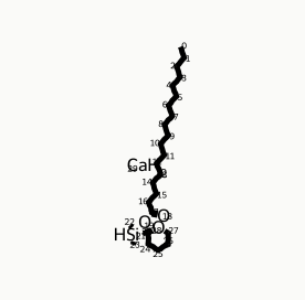 CCCCCCCCCCCCCCCCCC(=O)OC1([SiH](C)C)CCCCO1.[CaH2]